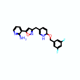 Nc1ncccc1-c1cc(CC2=CNC(OCc3cc(F)cc(F)c3)C=C2)no1